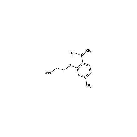 C=C(C)c1ccc(C)cc1OCCOC